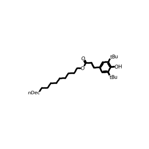 CCCCCCCCCCCCCCCCCCCOC(=O)CCc1cc(C(C)(C)C)c(O)c(C(C)(C)C)c1